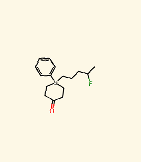 CC(F)CCC[Si]1(c2ccccc2)CCC(=O)CC1